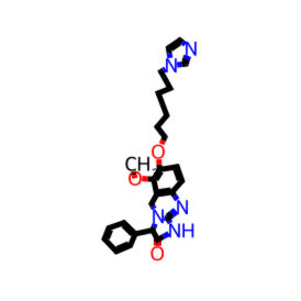 COc1c(OCCCCCCn2ccnc2)ccc2c1CN1C(=N2)NC(=O)C1c1ccccc1